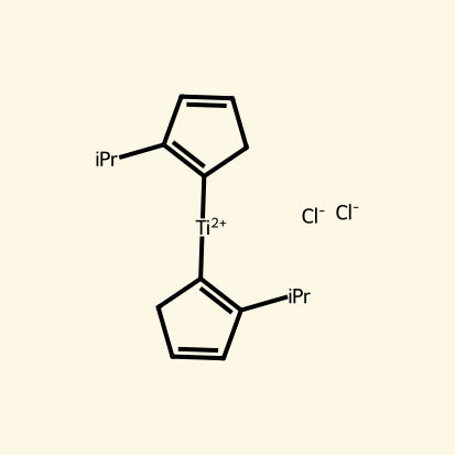 CC(C)C1=[C]([Ti+2][C]2=C(C(C)C)C=CC2)CC=C1.[Cl-].[Cl-]